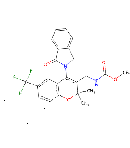 COC(=O)NCC1=C(N2Cc3ccccc3C2=O)c2cc(C(F)(F)F)ccc2OC1(C)C